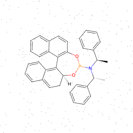 C[C@H](c1ccccc1)N([C@H](C)c1ccccc1)P1Oc2ccc3ccccc3c2C2=c3ccccc3=CC[C@@H]2O1